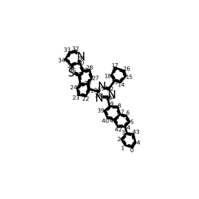 c1ccc(-c2ccc3cc(-c4nc(-c5ccccc5)nc(-c5cccc6c5ccc5c7ncccc7sc65)n4)ccc3c2)cc1